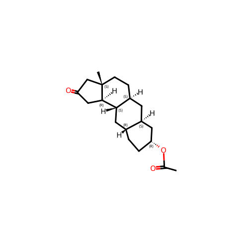 CC(=O)O[C@@H]1CC[C@@H]2C[C@H]3[C@@H](CC[C@@]4(C)CC(=O)C[C@H]34)C[C@H]2C1